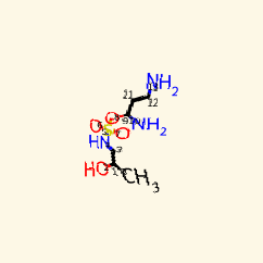 CC(O)CNS(=O)(=O)OC(N)CCN